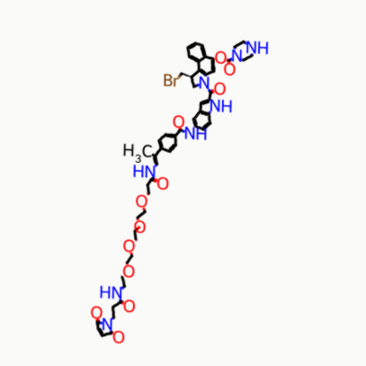 C/C(=C\NC(=O)CCOCCOCCOCCOCCNC(=O)CCN1C(=O)C=CC1=O)c1ccc(C(=O)Nc2ccc3[nH]c(C(=O)N4C[C@@H](CBr)c5c4cc(OC(=O)N4CCNCC4)c4ccccc54)cc3c2)cc1